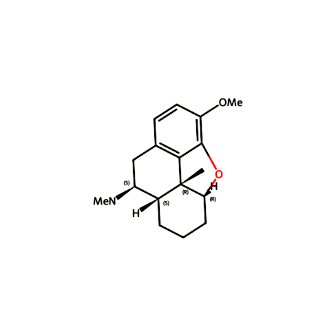 CN[C@H]1Cc2ccc(OC)c3c2[C@@]2(C)[C@@H]1CCC[C@H]2O3